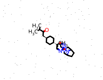 CCN1CC2CCC(C1)N2c1ncc([C@H]2CC[C@H](CC(=O)C(C)C)CC2)cn1